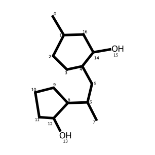 CC1CCC(CC(C)C2CCCC2O)C(O)C1